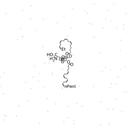 CC/C=C\C/C=C\C/C=C\C/C=C\CCCCC(=O)O[C@H](COC(=O)CCC/C=C\C/C=C\C/C=C\C/C=C\CCCCC)COP(=O)(O)OC[C@H](N)C(=O)O